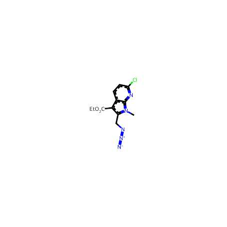 CCOC(=O)c1c(CN=[N+]=[N-])n(C)c2nc(Cl)ccc12